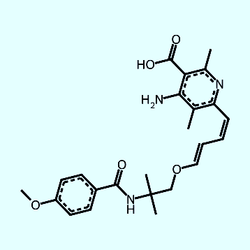 COc1ccc(C(=O)NC(C)(C)CO/C=C/C=C\c2nc(C)c(C(=O)O)c(N)c2C)cc1